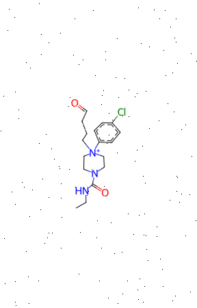 CCNC(=O)N1CC[N+](CCCC=O)(c2ccc(Cl)cc2)CC1